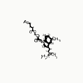 CC(=O)CCCC(=O)OCOC(=O)n1cc(CCN(C)C)c2cc(C)ccc21